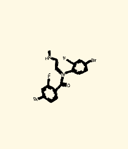 CNCCN(C(=O)c1ccc(Br)cc1F)c1ccc(Br)cc1F